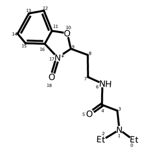 CCN(CC)CC(=O)NCCC1Oc2ccccc2[N+]1=O